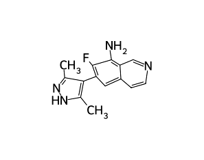 Cc1n[nH]c(C)c1-c1cc2ccncc2c(N)c1F